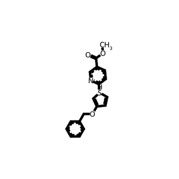 COC(=O)c1ccc([SH]2C=CC(OCc3ccccc3)=C2)nc1